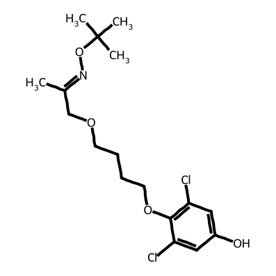 CC(COCCCCOc1c(Cl)cc(O)cc1Cl)=NOC(C)(C)C